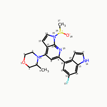 CC1COCCN1c1cc(-c2cc(F)cc3[nH]ccc23)nc2c1ccn2[S+](C)[O-]